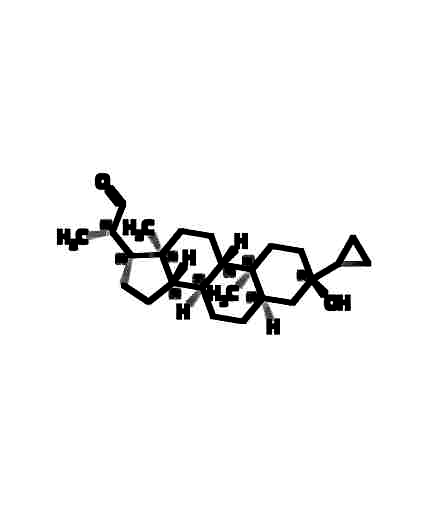 C[C@H](C=O)[C@H]1CC[C@H]2[C@@H]3CC[C@@H]4C[C@@](O)(C5CC5)CC[C@]4(C)[C@H]3CC[C@]12C